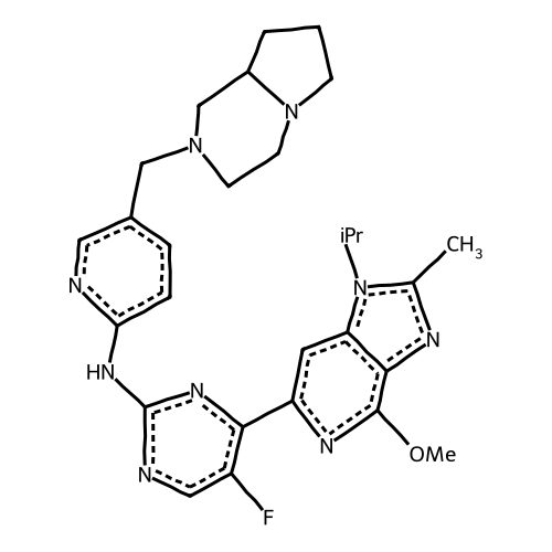 COc1nc(-c2nc(Nc3ccc(CN4CCN5CCCC5C4)cn3)ncc2F)cc2c1nc(C)n2C(C)C